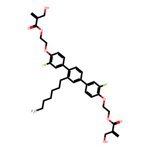 C=C(CO)C(=O)OCCOc1ccc(-c2ccc(-c3ccc(OCCOC(=O)C(=C)CO)c(F)c3)c(CCCCCCC(F)(F)F)c2)cc1F